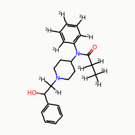 [2H]c1c([2H])c([2H])c(N(C(=O)C([2H])([2H])C([2H])([2H])[2H])C2CCN(C([2H])([2H])C(O)c3ccccc3)CC2)c([2H])c1[2H]